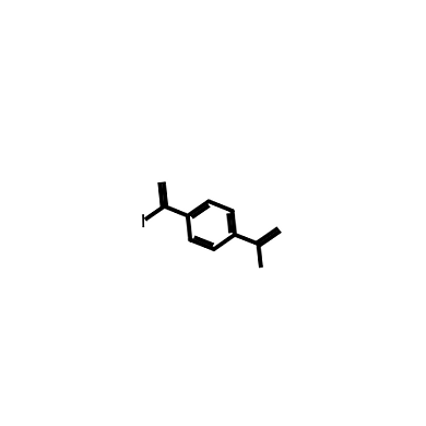 C=C(C)c1ccc(C(=C)I)cc1